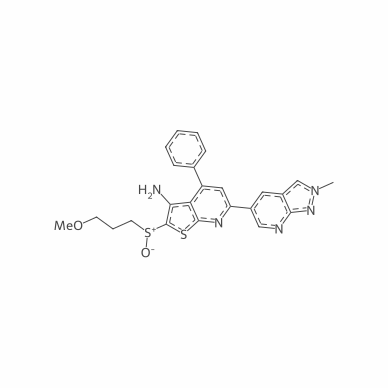 COCCC[S+]([O-])c1sc2nc(-c3cnc4nn(C)cc4c3)cc(-c3ccccc3)c2c1N